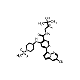 CC(C)(O)[C@H](F)CNC(=O)c1cnc(-c2ccc3cc(C#N)cnn23)cc1NC1CCN(S(C)(=O)=O)CC1